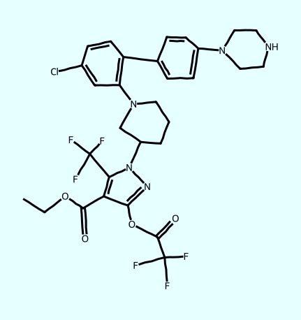 CCOC(=O)c1c(OC(=O)C(F)(F)F)nn(C2CCCN(c3cc(Cl)ccc3-c3ccc(N4CCNCC4)cc3)C2)c1C(F)(F)F